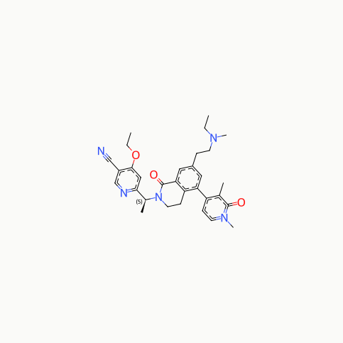 CCOc1cc([C@H](C)N2CCc3c(cc(CCN(C)CC)cc3-c3ccn(C)c(=O)c3C)C2=O)ncc1C#N